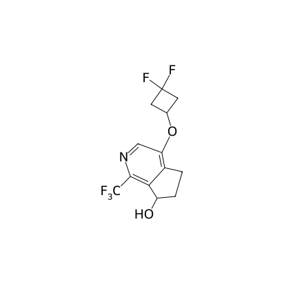 OC1CCc2c(OC3CC(F)(F)C3)cnc(C(F)(F)F)c21